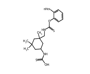 CCCCCCc1ccccc1OC(=S)NCC1(C)CC(NC(O)=S)CC(C)(C)C1